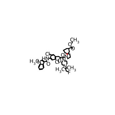 CCOC(=O)C1CCC(OC(C(=O)Cc2cc(Cl)c(NC(=O)c3cn(C)c4ccccc34)cc2Cl)(N2CCCC2)N2CCN(C(C)(C)CF)CC2)CC1